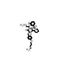 COCCCOc1ccc(C[C@H](NC(=O)C2CCCCN2S(=O)(=O)c2cccc(F)c2)C(=O)N[C@@H](C)COC)cc1